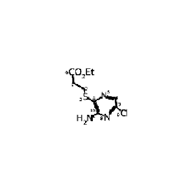 CCOC(=O)CCSc1ncc(Cl)nc1N